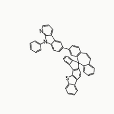 C1=Cc2ccc(-c3ccc4c(c3)c3cccnc3n4-c3ccccc3)cc2C2(c3ccccc31)c1ccccc1-c1c2ccc2c1sc1ccccc12